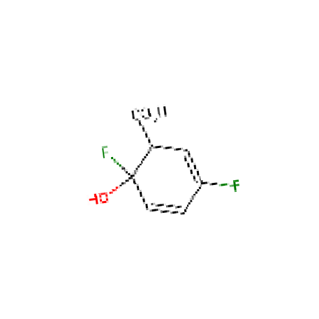 O=C(O)C1C=C(F)C=CC1(O)F